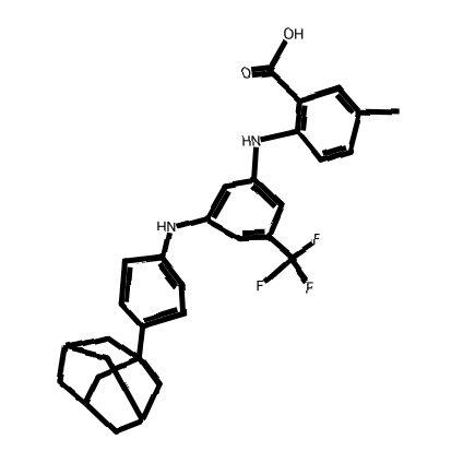 Cc1ccc(Nc2cc(Nc3ccc(C45CC6CC(CC(C6)C4)C5)cc3)cc(C(F)(F)F)c2)c(C(=O)O)c1